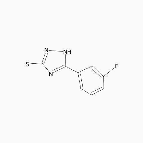 Fc1cccc(-c2nc([S])n[nH]2)c1